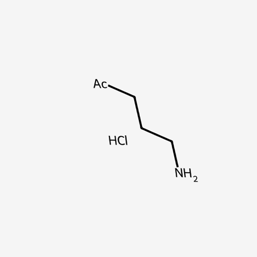 CC(=O)CCCN.Cl